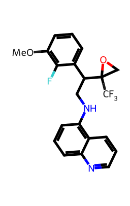 COc1cccc(C(CNc2cccc3ncccc23)C2(C(F)(F)F)CO2)c1F